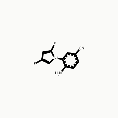 N#Cc1ccc(N)c([SH]2C=C(F)C=C2F)c1